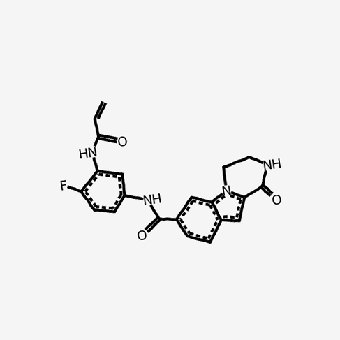 C=CC(=O)Nc1cc(NC(=O)c2ccc3cc4n(c3c2)CCNC4=O)ccc1F